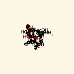 CCOc1ccc(S(=O)(=O)NC(=O)C[C@@H]2NC(=O)[C@H](NC(=O)[C@@H](CC(C)C)NC)[C@H](O)c3ccc(c(Cl)c3)Oc3cc4cc(c3O[C@@H]3O[C@H](CN)[C@@H](O)[C@H](O)[C@H]3O)Oc3ccc(cc3Cl)[C@@H](O)[C@@H]3NC(=O)[C@H](NC(=O)[C@@H]4NC2=O)c2ccc(O)c(c2)-c2c(O)cc(O)cc2[C@@H](C(=O)NC2C4CC5CC(C4)CC2C5)NC3=O)cc1